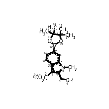 CCOC(=O)c1c(CO)n(C)c2cc(B3OC(C)(C)C(C)(C)O3)ccc12